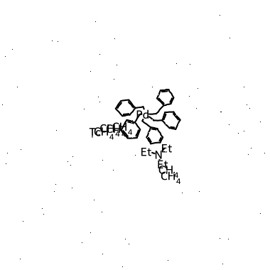 C.C.C.C.C.C.CCN(CC)CC.[Tc].c1ccc([CH2][Pd]([CH2]c2ccccc2)([CH2]c2ccccc2)([CH2]c2ccccc2)[CH2]c2ccccc2)cc1